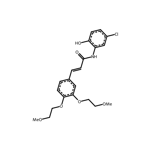 COCCOc1ccc(C=CC(=O)Nc2cc(Cl)ccc2O)cc1OCCOC